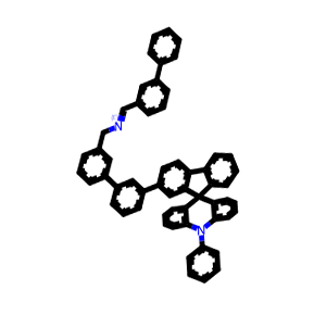 C(=N\Cc1cccc(-c2cccc(-c3ccc4c(c3)C3(c5ccccc5-4)c4ccccc4N(c4ccccc4)c4ccccc43)c2)c1)/c1cccc(-c2ccccc2)c1